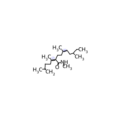 C=C(C)CC/C(C)=C(/CC/C(C)=C\CC(C)CC)C(=O)NC